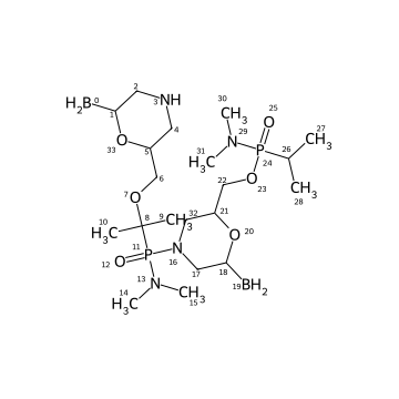 BC1CNCC(COC(C)(C)P(=O)(N(C)C)N2CC(B)OC(COP(=O)(C(C)C)N(C)C)C2)O1